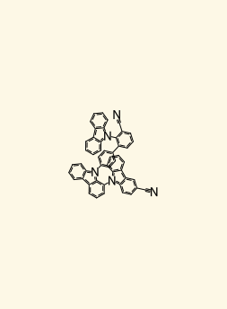 N#Cc1ccc2c(c1)c1ccccc1n2-c1cccc2c3ccccc3n(-c3ccc(-c4cccc(C#N)c4-n4c5ccccc5c5ccccc54)cc3)c12